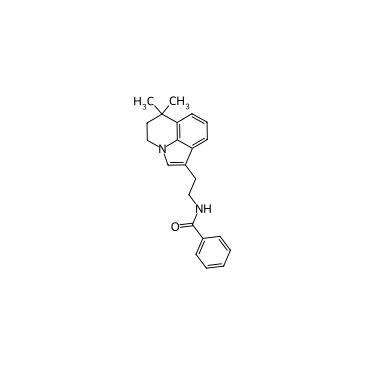 CC1(C)CCn2cc(CCNC(=O)c3ccccc3)c3cccc1c32